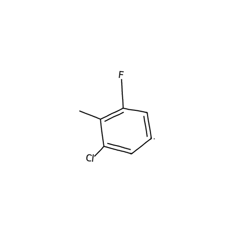 Cc1c(F)c[c]cc1Cl